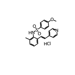 COc1ccc(S(=O)(=O)Nc2c(C)cccc2C=Cc2ccncc2)cc1.Cl